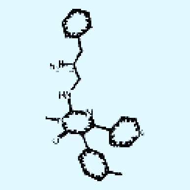 Cc1cccc(-c2c(-c3ccncc3)nc(NC[C@@H](N)Cc3ccccc3)n(C)c2=O)c1